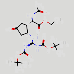 CCOC(=O)C(NC(C)=O)[C@@H]1CC(=O)C[C@@H]1NC(=NC(=O)OC(C)(C)C)NC(=O)OC(C)(C)C